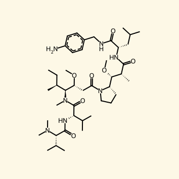 CC[C@H](C)[C@@H]([C@@H](CC(=O)N1CCC[C@H]1[C@H](OC)[C@@H](C)C(=O)N[C@@H](CC(C)C)C(=O)NCc1ccc(N)cc1)OC)N(C)C(=O)[C@@H](NC(=O)[C@H](C(C)C)N(C)C)C(C)C